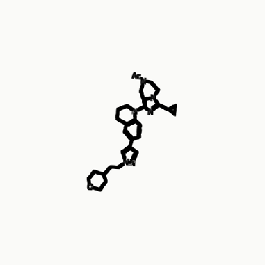 CC(=O)N1CCn2c(C3CC3)nc(N3CCCc4cc(-c5cnn(CCC6CCOCC6)c5)ccc43)c2C1